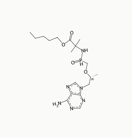 CCCCCOC(=O)C(C)(C)N[PH](=O)CO[C@H](C)Cn1cnc2c(N)ncnc21